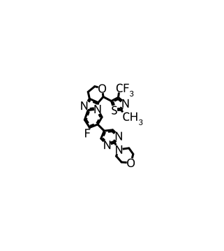 Cc1nc(C(F)(F)F)c(C2OCCc3nc4cc(F)c(-c5cnc(N6CCOCC6)nc5)cn4c32)s1